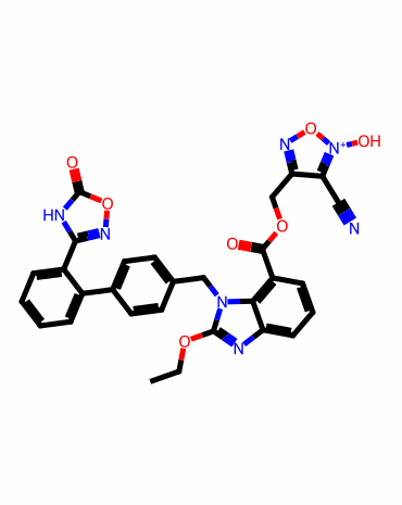 CCOc1nc2cccc(C(=O)OCc3no[n+](O)c3C#N)c2n1Cc1ccc(-c2ccccc2-c2noc(=O)[nH]2)cc1